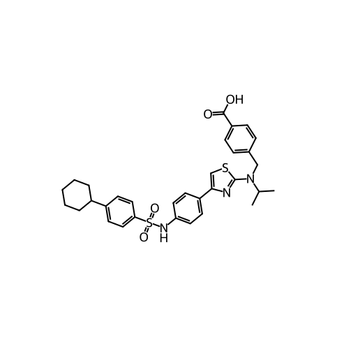 CC(C)N(Cc1ccc(C(=O)O)cc1)c1nc(-c2ccc(NS(=O)(=O)c3ccc(C4CCCCC4)cc3)cc2)cs1